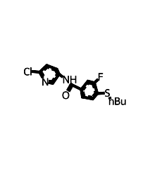 CCCCSc1ccc(C(=O)Nc2ccc(Cl)nc2)cc1F